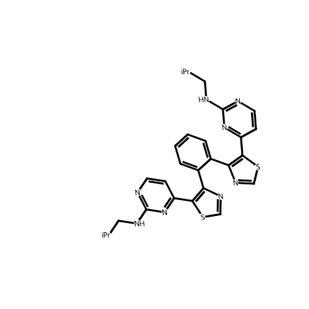 CC(C)CNc1nccc(-c2scnc2-c2ccccc2-c2ncsc2-c2ccnc(NCC(C)C)n2)n1